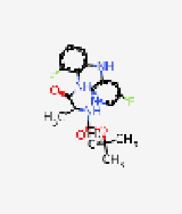 C[C@H](NC(=O)OC(C)(C)C)C(=O)Nc1c(F)cccc1Nc1cncc(F)c1